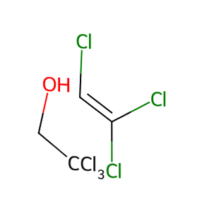 ClC=C(Cl)Cl.OCC(Cl)(Cl)Cl